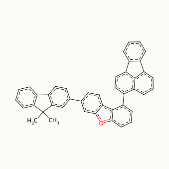 CC1(C)c2ccccc2-c2ccc(-c3ccc4c(c3)oc3cccc(-c5ccc6c7c(cccc57)-c5ccccc5-6)c34)cc21